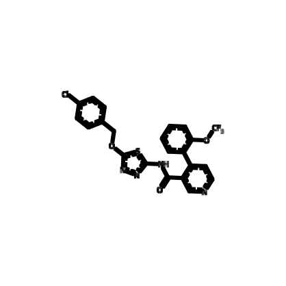 O=C(Nc1nnc(OCc2ccc(Cl)cc2)s1)c1cnccc1-c1ccccc1OC(F)(F)F